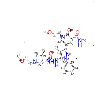 CNC(=O)c1cc(-c2nn(-c3ccccc3)c(NC(=O)N[C@@H]3CN(CCOC)C[C@H]3C)c2C)cn(CCOC)c1=O